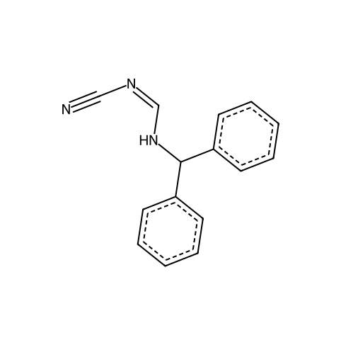 N#C/N=C\NC(c1ccccc1)c1ccccc1